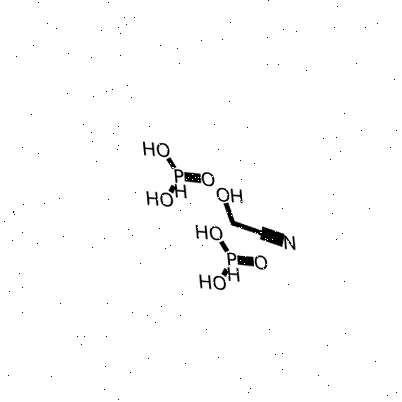 N#CCO.O=[PH](O)O.O=[PH](O)O